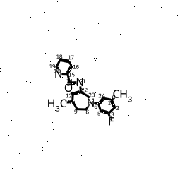 Cc1cc(F)cc(N2CCC(C)c3oc(-c4ccccn4)nc3C2)c1